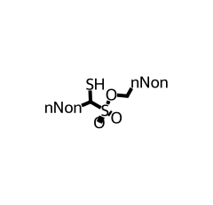 CCCCCCCCCCOS(=O)(=O)C(S)CCCCCCCCC